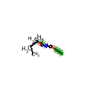 CCCCCC(C)CCCCCCC(C)[SiH2]C1Oc2ccc(-c3ncc(-c4ccc(OCC(F)(F)C(F)(F)C(F)(F)C(F)(F)C(F)(F)C(F)(F)F)cc4)cn3)c(F)c2C1(F)F